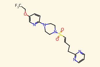 O=S(=O)(C=CCCc1ncccn1)N1CCN(c2ccc(OCC(F)(F)F)cn2)CC1